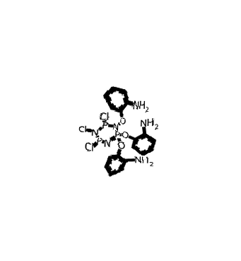 Nc1ccccc1ON1P(Cl)N(Cl)P(Cl)N=P1(Oc1ccccc1N)Oc1ccccc1N